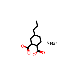 CCCC1CCC(C(=O)[O-])C(C(=O)[O-])C1.[Na+].[Na+]